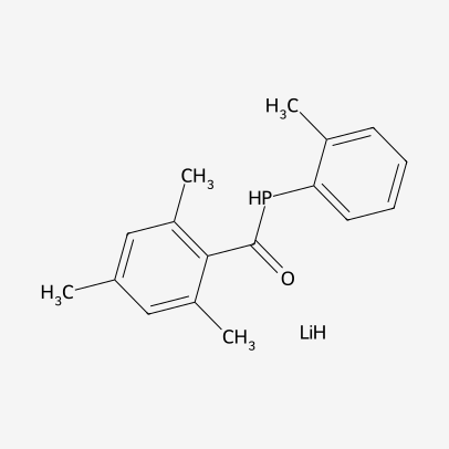 Cc1cc(C)c(C(=O)Pc2ccccc2C)c(C)c1.[LiH]